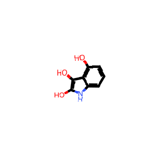 Oc1[nH]c2cccc(O)c2c1O